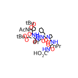 CCCC(NC(=O)[C@@H]1CCCN1C(=O)[C@H](CC1CCCCC1)NC(=O)[C@@H](NC(=O)[C@H](CCC(=O)OC(C)(C)C)NC(=O)[C@H](CCC(=O)OC(C)(C)C)NC(C)=O)C(C)C)C(=O)C(=O)NCC(=O)O